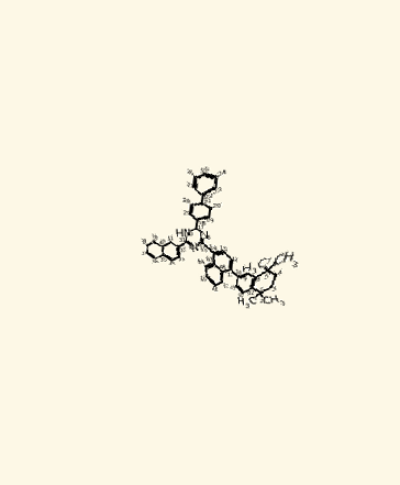 CC1(C)CCC(C)(C)c2cc(-c3ccc(C4=NC(C5=CCC(c6ccccc6)C=C5)NC(C5=CC=C6C=CCCC6C5)=N4)c4ccccc34)ccc21